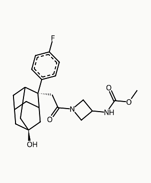 COC(=O)NC1CN(C(=O)C[C@]2(c3ccc(F)cc3)C3CC4CC2C[C@@](O)(C4)C3)C1